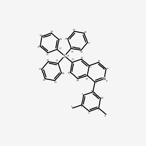 Cc1cc(C)cc(-c2nccc3cc(S(c4ccccc4)(c4ccccc4)c4ccccc4)ccc23)c1